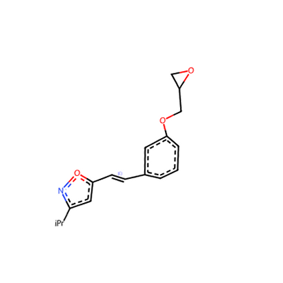 CC(C)c1cc(/C=C/c2cccc(OCC3CO3)c2)on1